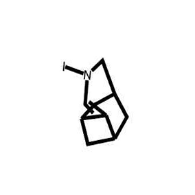 IN1C=C2C3CC(CC2C3)C1